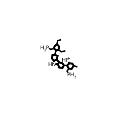 CCc1cc(CC)c(-c2ccc3[nH]c4ccc(-c5c(CP)cc(C)cc5PC)cc4c3c2)c(CP)c1